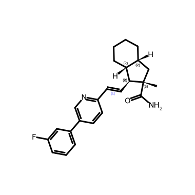 C[C@]1(C(N)=O)C[C@H]2CCCC[C@H]2[C@@H]1/C=C/c1ccc(-c2cccc(F)c2)cn1